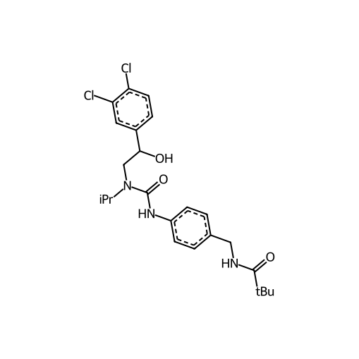 CC(C)N(CC(O)c1ccc(Cl)c(Cl)c1)C(=O)Nc1ccc(CNC(=O)C(C)(C)C)cc1